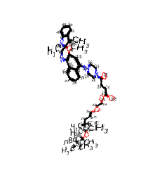 CCCC[Si](C)(C)C(C)(CC)O[Si](C)(C)C(C)(CC)CCCOCCOC(=O)CCC(=O)N1CCN(c2cc3c(c4ccccc24)N=CC2(O3)N(C)c3ccccc3C2(C)C)CC1